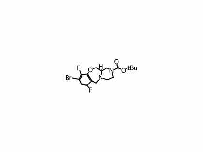 CC(C)(C)OC(=O)N1CCN2Cc3c(F)cc(Br)c(F)c3OC[C@H]2C1